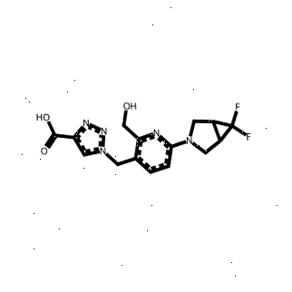 O=C(O)c1cn(Cc2ccc(N3CC4C(C3)C4(F)F)nc2CO)nn1